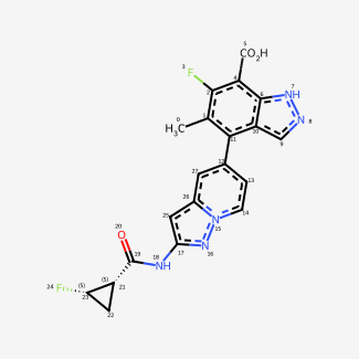 Cc1c(F)c(C(=O)O)c2[nH]ncc2c1-c1ccn2nc(NC(=O)[C@@H]3C[C@@H]3F)cc2c1